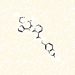 Nc1nc2ccc(CNC(=O)c3cccn4c(C(=O)N5CC[C@H](O)C5)c(-c5ccsc5)nc34)cc2s1